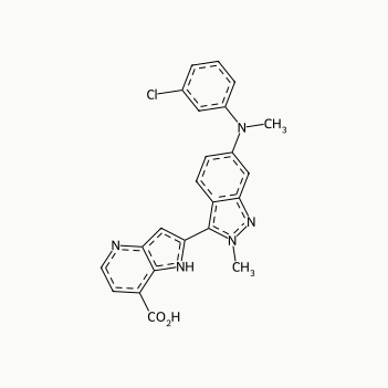 CN(c1cccc(Cl)c1)c1ccc2c(-c3cc4nccc(C(=O)O)c4[nH]3)n(C)nc2c1